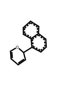 C1=COC(c2cccc3ccccc23)C=C1